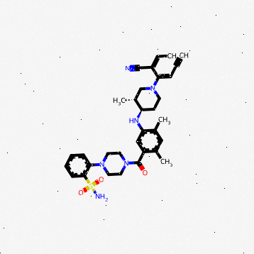 C#C/C=C(\C(C#N)=C/C)N1CC[C@@H](Nc2cc(C(=O)N3CCN(c4ccccc4S(N)(=O)=O)CC3)c(C)cc2C)[C@H](C)C1